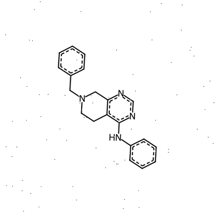 c1ccc(CN2CCc3c(ncnc3Nc3ccccc3)C2)cc1